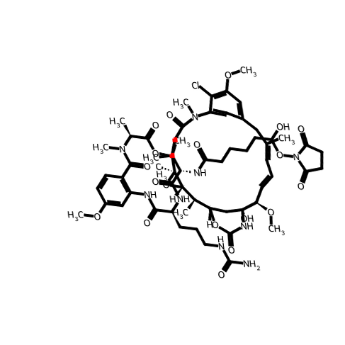 COc1ccc(C(=O)N(C)[C@@H](C)C(=O)O[C@H]2CC(=O)N(C)c3cc(cc(OC)c3Cl)C/C(C)=C/C=C/[C@@H](OC)[C@@]3(O)C[C@H](OC(=O)N3)[C@@H](C)[C@@H]3O[C@@]23C)c(NC(=O)[C@H](CCCNC(N)=O)NC(=O)[C@@H](NC(=O)CCCCC(O)ON2C(=O)CCC2=O)C(C)C)c1